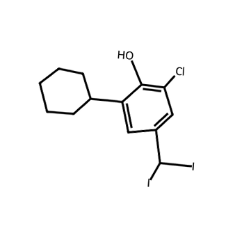 Oc1c(Cl)cc(C(I)I)cc1C1CCCCC1